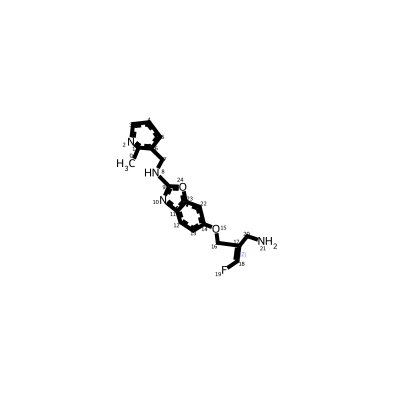 Cc1ncccc1CNc1nc2ccc(OC/C(=C\F)CN)cc2o1